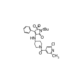 Cc1cc(C(=O)N2CCC(NC3=C(c4ccccc4)S(=O)(=O)N(C(C)(C)C)C3=O)CC2)cc(Cl)n1